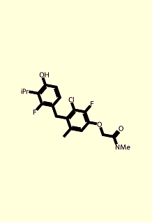 CNC(=O)COc1cc(C)c(Cc2ccc(O)c(C(C)C)c2F)c(Cl)c1F